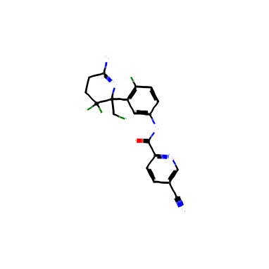 N#Cc1ccc(C(=O)Nc2ccc(F)c(C3(CF)N=C(N)CCC3(F)F)c2)nc1